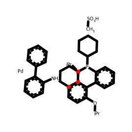 CC(C)Oc1cccc(OC(C)C)c1-c1ccccc1P(C1CCCCC1)C1CCCCC1.CS(=O)(=O)O.Nc1ccccc1-c1ccccc1.[Pd]